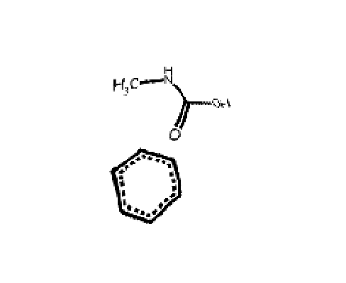 CNC(=O)O.c1ccccc1